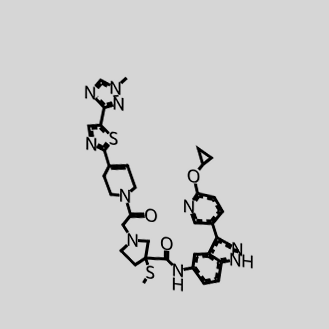 CSC1(C(=O)Nc2ccc3[nH]nc(-c4ccc(OC5CC5)nc4)c3c2)CCN(CC(=O)N2CC=C(c3ncc(-c4ncn(C)n4)s3)CC2)C1